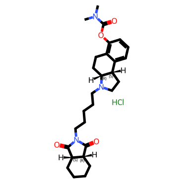 CN(C)C(=O)Oc1cccc2c1CC[C@@H]1[C@H]2CCN1CCCCCN1C(=O)[C@H]2CCCC[C@H]2C1=O.Cl